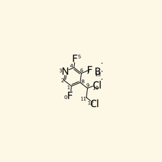 Fc1cnc(F)c(F)c1C(Cl)CCl.[B]